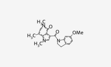 COc1ccc2c(c1)N(C(=O)c1cn(C)c3c(C)cn(C)c(=O)c13)CC2